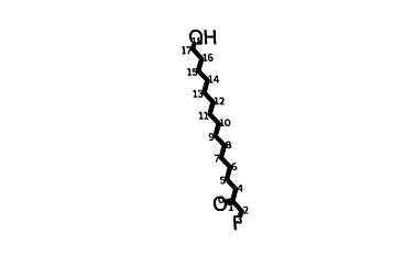 O=C(CF)CCCCCCCCCCCCCCO